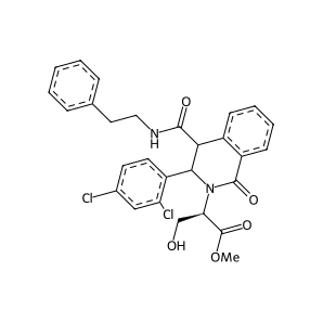 COC(=O)[C@@H](CO)N1C(=O)c2ccccc2C(C(=O)NCCc2ccccc2)C1c1ccc(Cl)cc1Cl